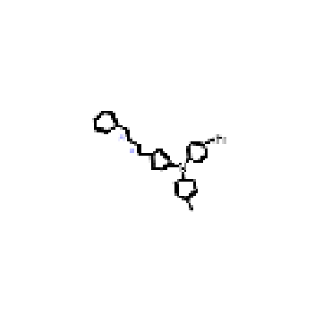 Cc1ccc(N(c2ccc(/C=C/C=C/c3ccccc3)cc2)c2ccc(C(C)C)cc2)cc1